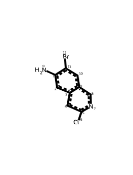 Nc1cc2cc(Cl)ncc2cc1Br